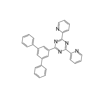 c1ccc(-c2cc(-c3ccccc3)cc(-c3nc(-c4ccccn4)nc(-c4ccccn4)n3)c2)cc1